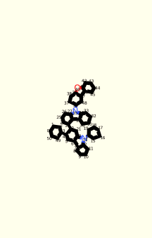 c1ccc(-c2cc3c4ccccc4n(-c4ccccc4)c3cc2-c2cccc3c2c2ccccc2n3-c2ccc3oc4ccccc4c3c2)cc1